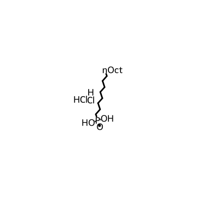 CCCCCCCCCCCCCCCCP(=O)(O)O.Cl.Cl